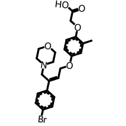 Cc1cc(OC/C=C(\CN2CCOCC2)c2ccc(Br)cc2)ccc1OCC(=O)O